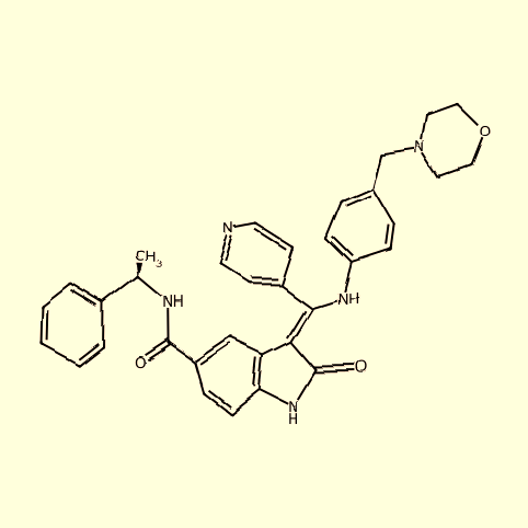 C[C@@H](NC(=O)c1ccc2c(c1)/C(=C(/Nc1ccc(CN3CCOCC3)cc1)c1ccncc1)C(=O)N2)c1ccccc1